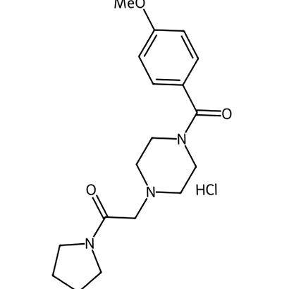 COc1ccc(C(=O)N2CCN(CC(=O)N3CCCC3)CC2)cc1.Cl